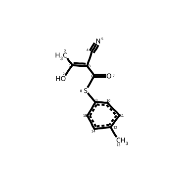 CC(O)=C(C#N)C(=O)Sc1ccc(C)cc1